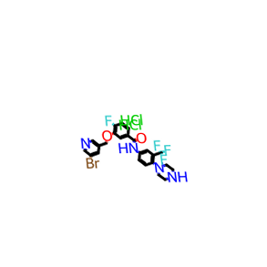 Cl.Cl.O=C(Nc1ccc(N2CCNCC2)c(C(F)(F)F)c1)c1ccc(F)c(OCc2cncc(Br)c2)c1